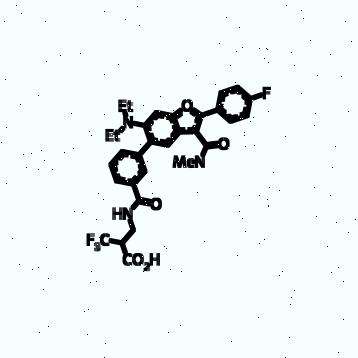 CCN(CC)c1cc2oc(-c3ccc(F)cc3)c(C(=O)NC)c2cc1-c1cccc(C(=O)NCC(C(=O)O)C(F)(F)F)c1